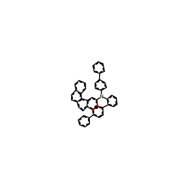 c1ccc(-c2ccc(-c3ccccc3N(c3ccc(-c4ccccc4)cc3)c3ccc4ccc5ccc6ccccc6c5c4c3)cc2)cc1